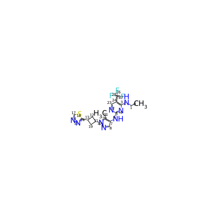 CCNc1nc(Nc2cnn([C@H]3C[C@H](c4nncs4)C3)c2C)ncc1C(F)(F)F